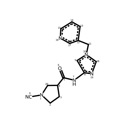 N#CN1CCC(C(=O)Nc2cn(Cc3cccnc3)cn2)C1